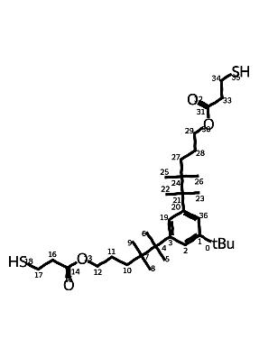 CC(C)(C)c1cc(C(C)(C)C(C)(C)CCCOC(=O)CCS)cc(C(C)(C)C(C)(C)CCCOC(=O)CCS)c1